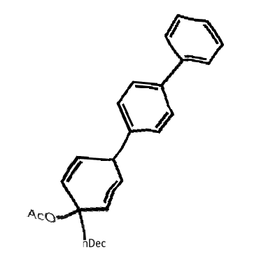 CCCCCCCCCCC1(OC(C)=O)C=CC(c2ccc(-c3ccccc3)cc2)C=C1